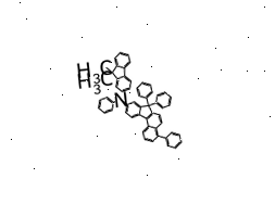 CC1(C)c2ccccc2-c2ccc(N(c3ccccc3)c3ccc4c(c3)C(c3ccccc3)(c3ccccc3)c3ccc5c(-c6ccccc6)cccc5c3-4)cc21